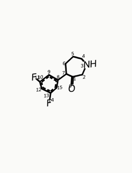 O=C1CNCCCC1c1cc(F)cc(F)c1